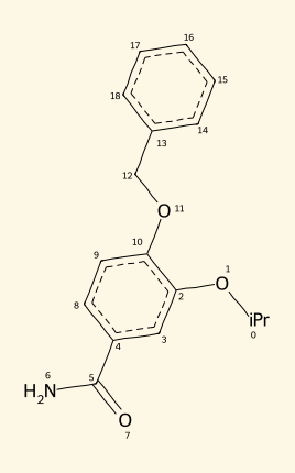 CC(C)Oc1cc(C(N)=O)ccc1OCc1ccccc1